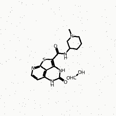 CN1CCCC(NC(=O)c2sc3nccc4c3c2NC(=O)N4)C1.O=CO